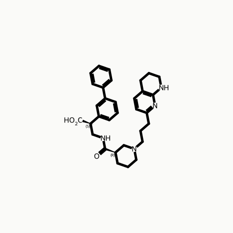 O=C(NC[C@@H](C(=O)O)c1cccc(-c2ccccc2)c1)[C@@H]1CCCN(CCCc2ccc3c(n2)NCCC3)C1